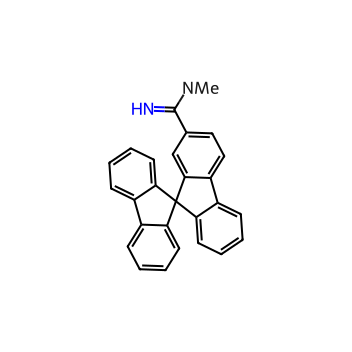 CNC(=N)c1ccc2c(c1)C1(c3ccccc3-c3ccccc31)c1ccccc1-2